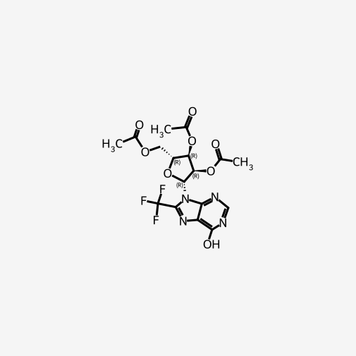 CC(=O)OC[C@H]1O[C@@H](n2c(C(F)(F)F)nc3c(O)ncnc32)[C@H](OC(C)=O)[C@@H]1OC(C)=O